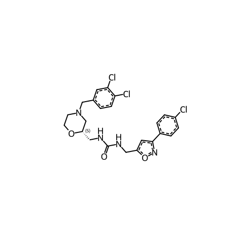 O=C(NCc1cc(-c2ccc(Cl)cc2)no1)NC[C@H]1CN(Cc2ccc(Cl)c(Cl)c2)CCO1